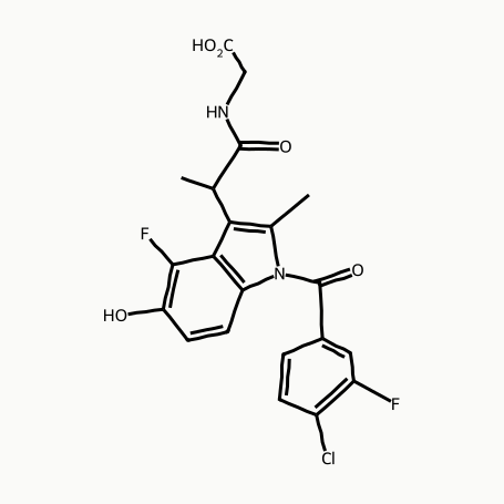 Cc1c(C(C)C(=O)NCC(=O)O)c2c(F)c(O)ccc2n1C(=O)c1ccc(Cl)c(F)c1